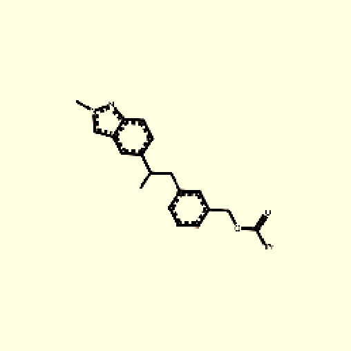 CC(C)C(=O)OCc1cccc(CC(C)c2ccc3nn(C)cc3c2)c1